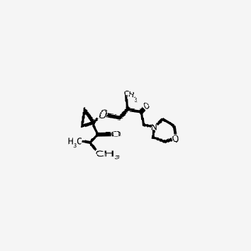 CC(C)C(=O)C1(OCC(C)C(=O)CN2CCOCC2)CC1